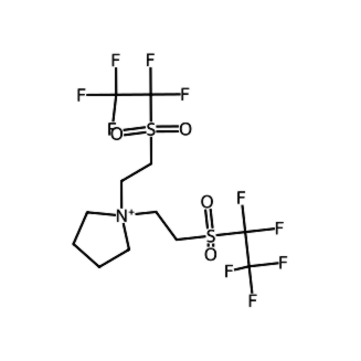 O=S(=O)(CC[N+]1(CCS(=O)(=O)C(F)(F)C(F)(F)F)CCCC1)C(F)(F)C(F)(F)F